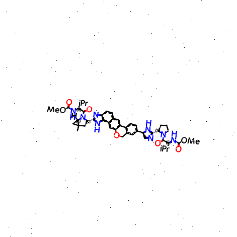 COC(=O)N[C@H](C(=O)N1CCC[C@H]1c1ncc(-c2ccc3c(c2)COc2cc4c(ccc5nc([C@@H]6CC7(C)C[C@H]7N6C(=O)[C@@H](NC(=O)OC)C(C)C)[nH]c54)cc2-3)[nH]1)C(C)C